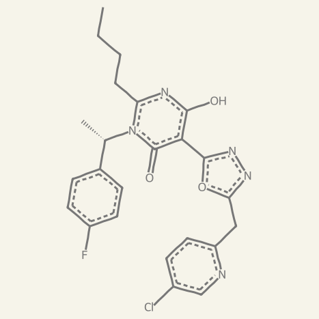 CCCCc1nc(O)c(-c2nnc(Cc3ccc(Cl)cn3)o2)c(=O)n1[C@@H](C)c1ccc(F)cc1